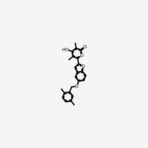 Cc1ccc(C)c(COc2ccc3oc(-c4oc(=O)c(C)c(O)c4C)cc3c2)c1